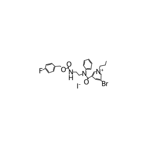 CCC[n+]1cc(Br)cc(C(=O)N(CCNC(=O)OCc2ccc(F)cc2)c2ccccc2)c1.[I-]